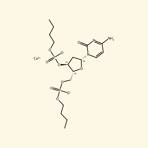 CCCCOP(=O)([O-])OC[C@H]1O[C@@H](n2ccc(N)nc2=O)C[C@@H]1OP(=O)([O-])OCCCC.[Ca+2]